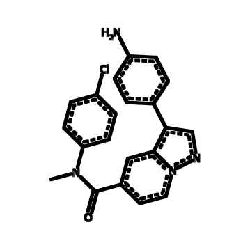 CN(C(=O)c1ccn2ncc(-c3ccc(N)cc3)c2c1)c1ccc(Cl)cc1